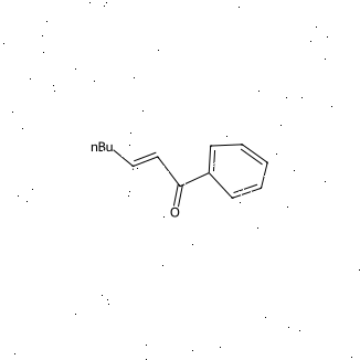 [CH2]CCC[C]=CC(=O)c1ccccc1